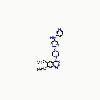 COc1cc2ncnc(N3CCN(c4ncc(Nc5cccnc5)cn4)CC3)c2cc1OC